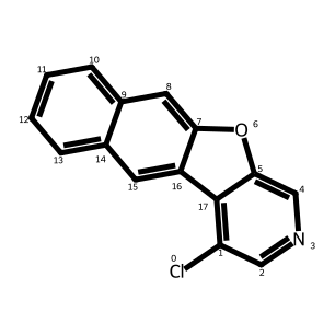 Clc1cncc2oc3cc4ccccc4cc3c12